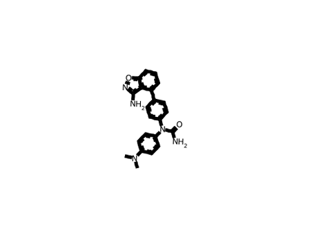 CN(C)c1ccc(N(C(N)=O)c2ccc(-c3cccc4onc(N)c34)cc2)cc1